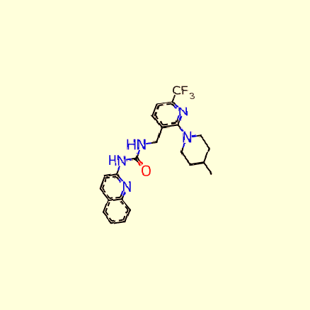 CC1CCN(c2nc(C(F)(F)F)ccc2CNC(=O)Nc2ccc3ccccc3n2)CC1